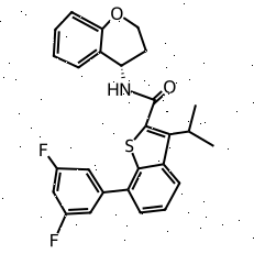 CC(C)c1c(C(=O)N[C@H]2CCOc3ccccc32)sc2c(-c3cc(F)cc(F)c3)cccc12